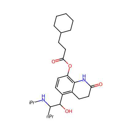 CCCC(NC(C)C)C(O)c1ccc(OC(=O)CCC2CCCCC2)c2c1CCC(=O)N2